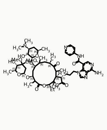 CC[C@H]1OC(=O)C(C)[C@@H](O[C@H]2CC(C)(OC)[C@@H](O)[C@H](C)O2)C[C@@H](O[C@@H]2O[C@H](C)C[C@H](N(C)C)[C@H]2O)[C@](C)(OC)C[C@@H](C)C(=O)C(C)[C@H]2[C@H](SCCn3cnc4c(N)ncc(C(=O)Nc5ccncc5)c43)C(=O)O[C@]12C